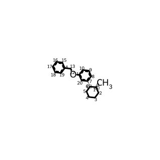 C[C@H]1CCCC[C@@H]1c1cccc(OCc2ccccc2)c1